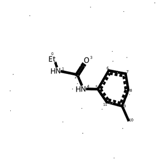 CCNC(=O)Nc1cccc(C)c1